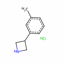 Cc1cccc(C2CNC2)c1.Cl